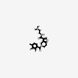 Cc1ccc(C(=O)N2CCc3onc(C(=O)NCCN(C)C)c3C2)c(F)c1F